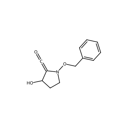 O=C=C1C(O)CCN1OCc1ccccc1